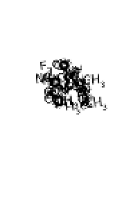 Cc1c(-c2ccnn2-c2ccc(C#N)cc2)n(C(=O)NC(C)c2nc(C[N+](C)(C)C)no2)c(=O)n1-c1cccc(C(F)(F)F)c1.O=S(=O)([O-])c1ccccc1